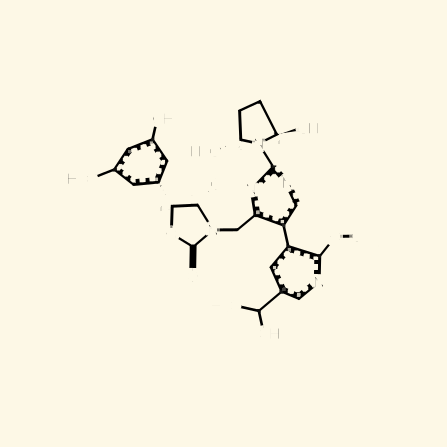 COc1ncc(C(C)C)cc1-c1cnc(N2[C@H](C)CC[C@H]2C)nc1CN1C(=O)O[C@H](c2cc(C)cc(C)c2)[C@@H]1C